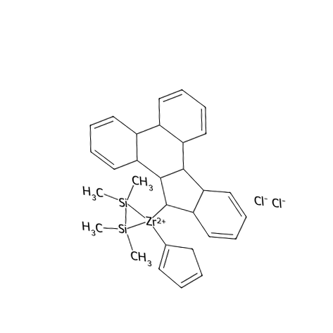 C[Si]1(C)[Si](C)(C)[Zr+2]1([C]1=CC=CC1)[CH]1C2C=CC=CC2C2C3C=CC=CC3C3C=CC=CC3C21.[Cl-].[Cl-]